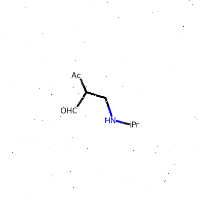 CC(=O)C(C=O)CNC(C)C